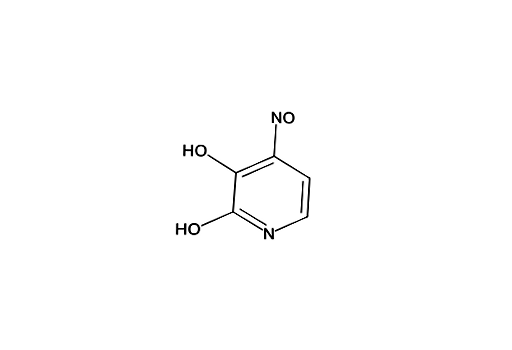 O=Nc1ccnc(O)c1O